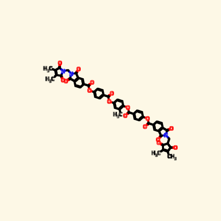 CC1=C(C)C(=O)C(CN2C(=O)c3ccc(C(=O)Oc4ccc(C(=O)Oc5ccc(OC(=O)c6ccc(OC(=O)c7ccc8c(c7)C(=O)N(CN7C(=O)C(C)=C(C)C7=O)C8=O)cc6)cc5C)cc4)cc3C2=O)C1=O